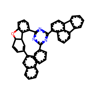 C1=CC2Oc3cccc(-c4nc(-c5ccccc5)nc(-c5ccc6c7c(cccc57)-c5ccccc5-6)n4)c3C2C=C1c1ccc2ccccc2c1